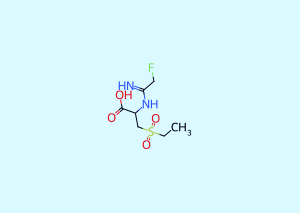 CCS(=O)(=O)CC(NC(=N)CF)C(=O)O